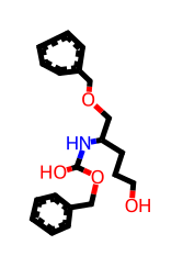 OCCCC(COCc1ccccc1)NC(O)OCc1ccccc1